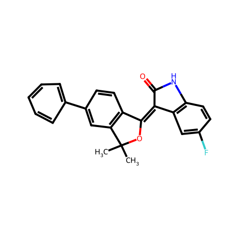 CC1(C)OC(=C2C(=O)Nc3ccc(F)cc32)c2ccc(-c3ccccc3)cc21